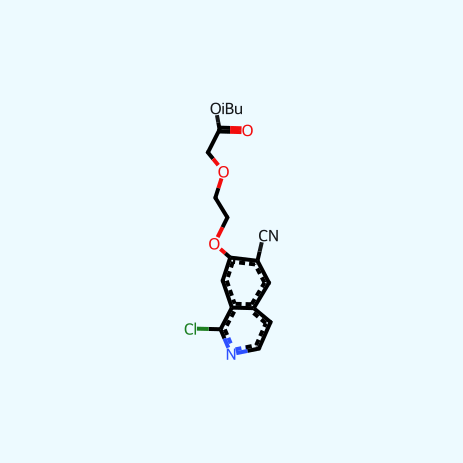 CC(C)COC(=O)COCCOc1cc2c(Cl)nccc2cc1C#N